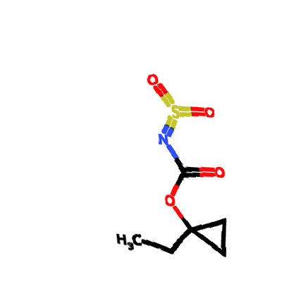 CCC1(OC(=O)N=S(=O)=O)CC1